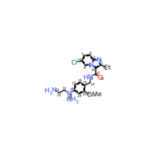 CCc1nc2ccc(Cl)cn2c1C(=O)NCc1ccc(N(N)CCN)cc1OC